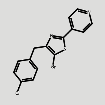 Clc1ccc(Cc2nc(-c3ccncc3)sc2Br)cc1